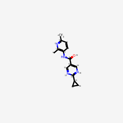 Cc1nc(C(F)(F)F)ccc1NC(=O)c1cnc(C2CC2)nc1